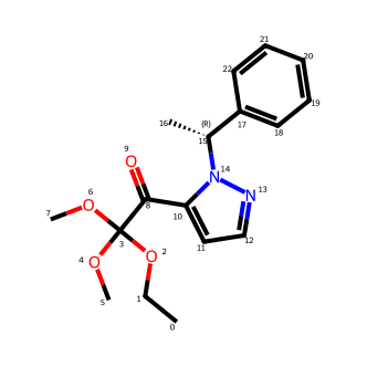 CCOC(OC)(OC)C(=O)c1ccnn1[C@H](C)c1ccccc1